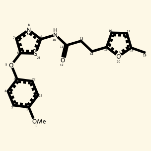 COc1ccc(Oc2cnc(NC(=O)CCc3ccc(C)o3)s2)cc1